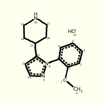 COc1ccccc1-n1nccc1C1CCNCC1.Cl